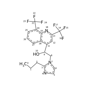 CCCc1nccn1CC(O)c1cc(C(F)(F)F)nc2c(C(F)(F)F)cccc12